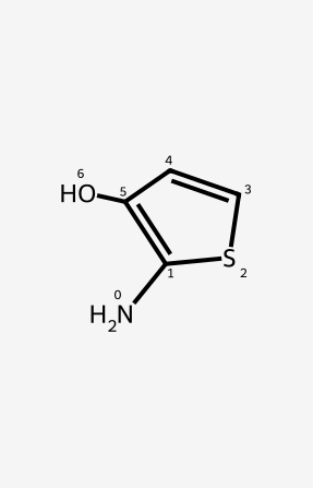 Nc1sccc1O